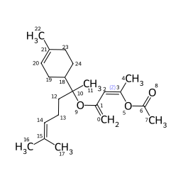 C=C(/C=C(/C)OC(C)=O)OC(C)(CCC=C(C)C)C1CC=C(C)CC1